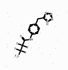 O=C(Nc1ccc(Cc2nnn[nH]2)cc1)C(F)(F)C(F)(F)C(F)(F)F